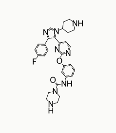 O=C(Nc1cccc(Oc2nccc(-c3c(-c4ccc(F)cc4)ncn3C3CCNCC3)n2)c1)N1CCNCC1